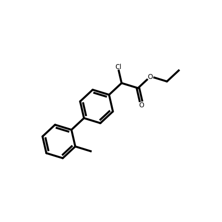 CCOC(=O)C(Cl)c1ccc(-c2ccccc2C)cc1